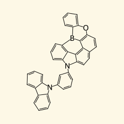 c1cc(-n2c3ccccc3c3ccccc32)cc(-n2c3cccc4c3c3c5c6c(ccc5ccc32)Oc2ccccc2B64)c1